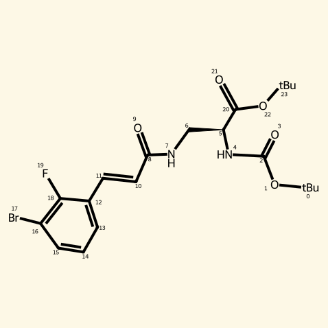 CC(C)(C)OC(=O)N[C@@H](CNC(=O)/C=C/c1cccc(Br)c1F)C(=O)OC(C)(C)C